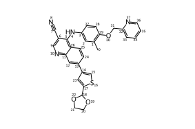 Cc1cc(Nc2c(C#N)cnc3cc(-c4csc(C5OCCO5)c4)ccc23)ccc1OCc1ccccn1